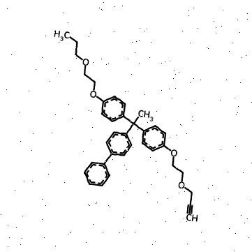 C#CCOCCOc1ccc(C(C)(c2ccc(OCCOCCC)cc2)c2ccc(-c3ccccc3)cc2)cc1